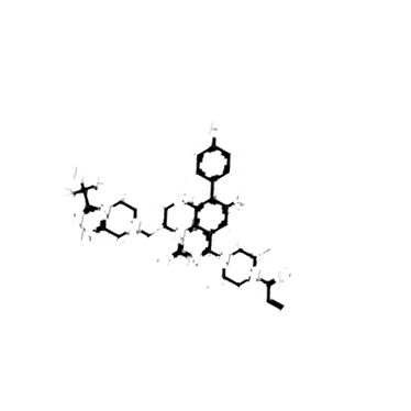 C=CC(=O)N1C[C@H](C)N(c2nc(=O)n3c4c(c(-c5ccc(F)cc5)c(Cl)cc24)SC[C@@H]3CN2CCn3c(nnc3C(F)(F)F)C2)C[C@H]1C